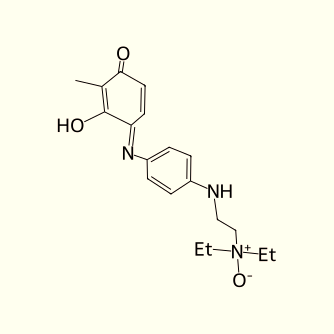 CC[N+]([O-])(CC)CCNc1ccc(/N=C2\C=CC(=O)C(C)=C2O)cc1